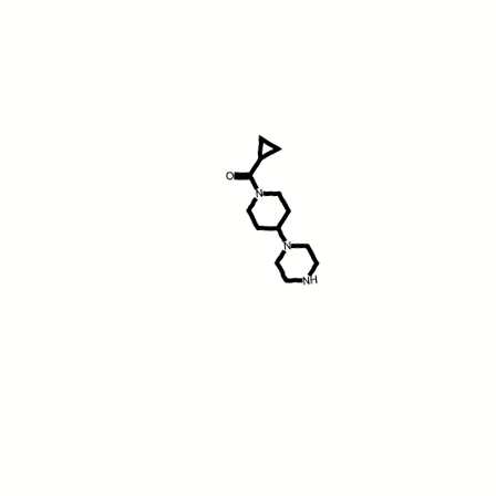 O=C(C1CC1)N1CCC(N2CCNCC2)CC1